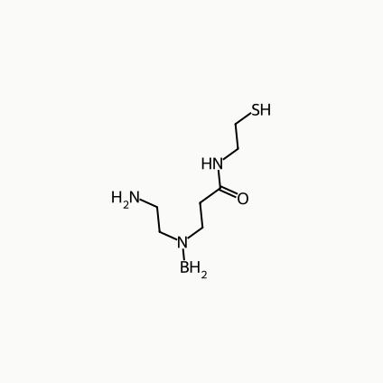 BN(CCN)CCC(=O)NCCS